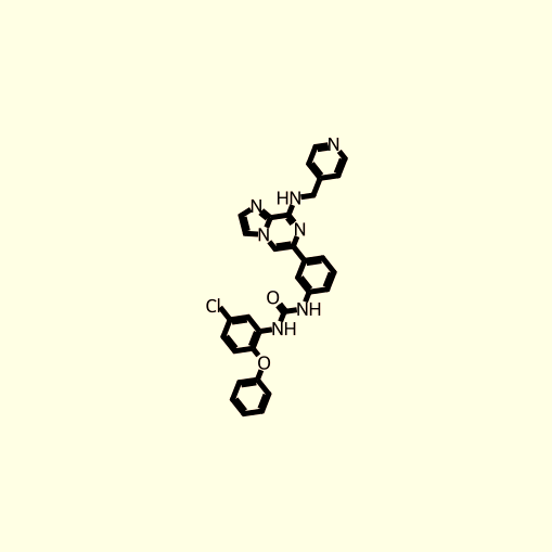 O=C(Nc1cccc(-c2cn3ccnc3c(NCc3ccncc3)n2)c1)Nc1cc(Cl)ccc1Oc1ccccc1